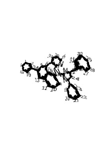 c1ccc(-c2cc3c4c(cccc4c2)N(c2nc(-c4ccccc4)cc(-c4ccccc4)n2)c2ncccc2-3)cc1